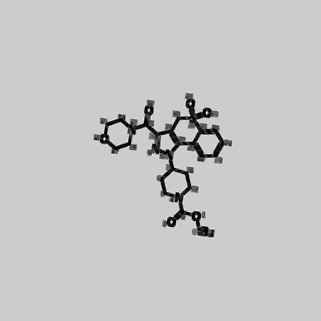 CC(C)(C)OC(=O)N1CCC(n2nc(C(=O)N3CCOCC3)c3c2-c2ccccc2S(=O)(=O)C3)CC1